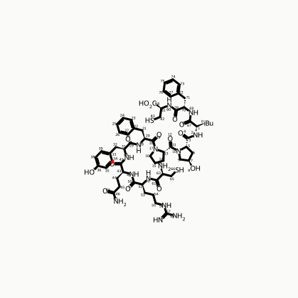 CC[C@H](C)[C@H](NC(=O)[C@@H]1C[C@@H](O)CN1C(=O)[C@@H]1CCCN1C(=O)[C@H](Cc1ccccc1)NC(=O)[C@H](Cc1ccc(O)cc1)NC(=O)[C@H](CCC(N)=O)NC(=O)[C@H](CCCNC(=N)N)NC(=O)[C@@H](N)CS)C(=O)N[C@@H](Cc1ccccc1)C(=O)N[C@@H](CS)C(=O)O